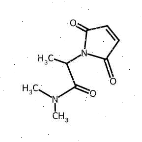 CC(C(=O)N(C)C)N1C(=O)C=CC1=O